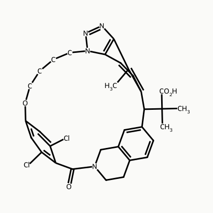 Cc1c2ccc3c1nnn3CCCCOc1cc(Cl)c(c(Cl)c1)C(=O)N1CCc3ccc(cc3C1)C2C(C)(C)C(=O)O